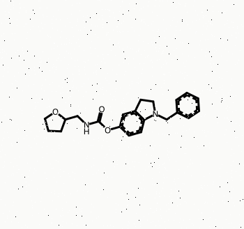 O=C(NCC1CCCO1)Oc1ccc2c(c1)CCN2Cc1ccccc1